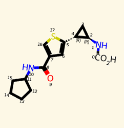 O=C(O)N[C@@H]1C[C@H]1c1cc(C(=O)NC2CCCC2)cs1